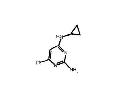 Nc1nc(Cl)cc(NC2CC2)n1